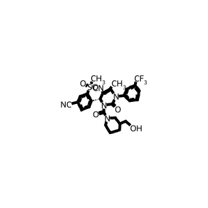 [C-]#[N+]C1=C(C)N(c2cccc(C(F)(F)F)c2)C(=O)N(C(=O)N2CCCC(CO)C2)[C@@H]1c1ccc(C#N)cc1S(C)(=O)=O